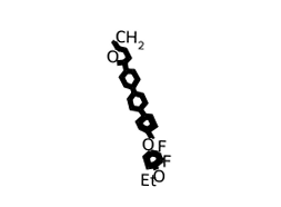 C=CC1CCC(C2CCC(C3CCC(c4ccc(COc5ccc(OCC)c(F)c5F)cc4)CC3)CC2)CO1